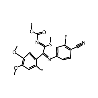 COC(=O)N=C(SC)C(=Nc1ccc(C#N)c(F)c1)c1cc(OC)c(OC)cc1F